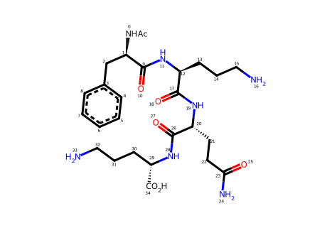 CC(=O)N[C@H](Cc1ccccc1)C(=O)N[C@@H](CCCN)C(=O)N[C@H](CCC(N)=O)C(=O)N[C@@H](CCCN)C(=O)O